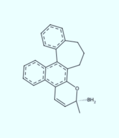 B[C@]1(C)C=Cc2c(c3c(c4ccccc24)-c2ccccc2CCC3)O1